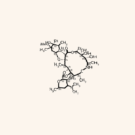 CC[C@H]1OC(=O)[C@H](C)[C@@H](O[C@H]2C[C@@](C)(OC)[C@](O)(CC)C(C)O2)[C@H](C)[C@@H](O[C@@H]2O[C@H](C)CC(N(C)C)[C@H]2O)[C@](C)(O)C[C@@H](C)CN[C@H](C)[C@@H](O)[C@]1(C)O